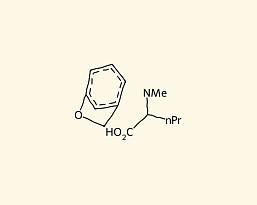 CCCC(NC)C(=O)O.c1cc2cc(c1)OC2